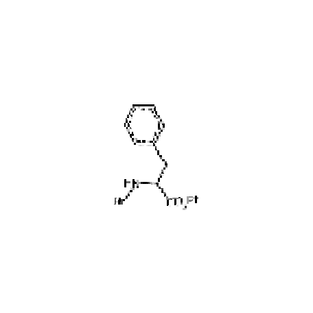 CCOC(=O)C(Cc1ccccc1)NBr